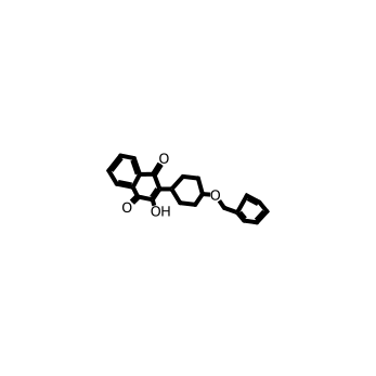 O=C1C(O)=C(C2CCC(OCc3ccccc3)CC2)C(=O)c2ccccc21